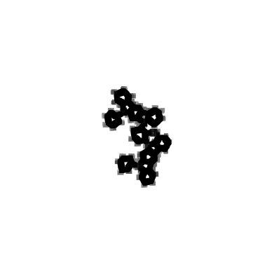 N#Cc1c(-n2c3ccccc3c3cc4c5ccccc5n(-c5ccccc5)c4cc32)cccc1-n1c2ccccc2c2cc3c4ccccc4n(-c4ccccc4)c3cc21